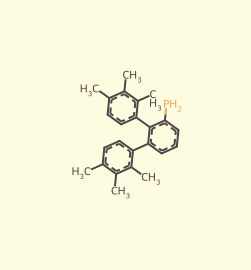 Cc1ccc(-c2cccc(P)c2-c2ccc(C)c(C)c2C)c(C)c1C